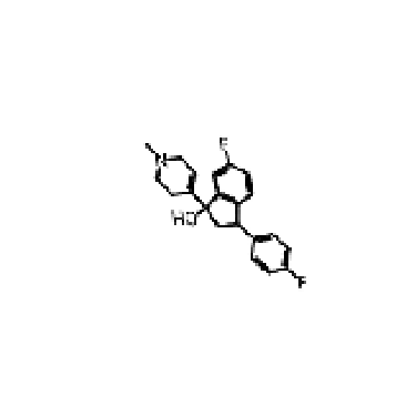 CN1CC=C(C2(O)CC(c3ccc(F)cc3)c3ccc(F)cc32)CC1